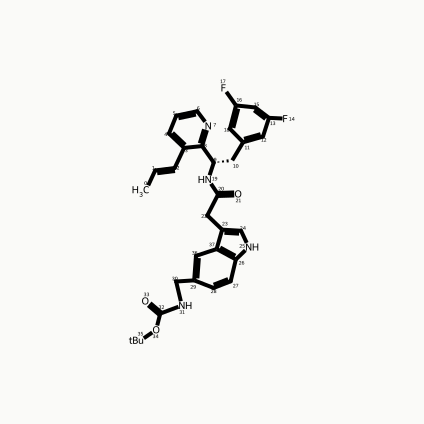 C/C=C/c1cccnc1[C@H](Cc1cc(F)cc(F)c1)NC(=O)Cc1c[nH]c2ccc(CNC(=O)OC(C)(C)C)cc12